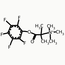 CC(C)(C(=O)Oc1c(F)c(F)c(F)c(F)c1F)[N+](C)(C)C